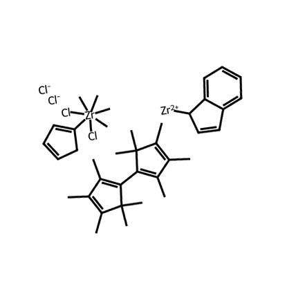 CC1=C(C)C(C)(C)C(C2=C(C)C(C)=C(C)C2(C)C)=C1C.[CH3][Zr]([CH3])([CH3])([CH3])([Cl])([Cl])[C]1=CC=CC1.[Cl-].[Cl-].[Zr+2][CH]1C=Cc2ccccc21